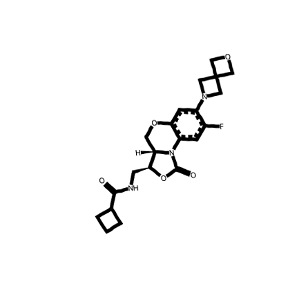 O=C(NC[C@@H]1OC(=O)N2c3cc(F)c(N4CC5(COC5)C4)cc3OC[C@@H]12)C1CCC1